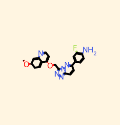 COC1C=c2nccc(OCc3nnc4ccc(-c5ccc(N)c(F)c5)nn34)c2=CC1